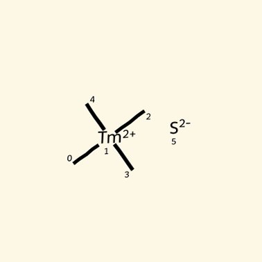 [CH3][Tm+2]([CH3])([CH3])[CH3].[S-2]